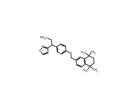 CC1(C)CCC(C)(C)c2cc(COc3ccc(C(CC(=O)O)c4ccon4)cc3)ccc21